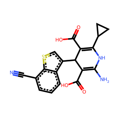 N#Cc1cccc2c(C3C(C(=O)O)=C(N)NC(C4CC4)=C3C(=O)O)csc12